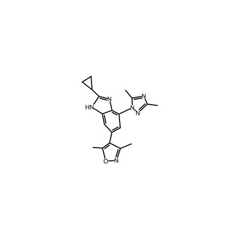 Cc1nc(C)n(-c2cc(-c3c(C)noc3C)cc3[nH]c(C4CC4)nc23)n1